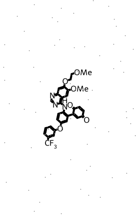 COCCOc1cc2ncnc(Nc3ccc(Oc4cccc(C(F)(F)F)c4)cc3C3=CC(=O)C=CC3=O)c2cc1OC